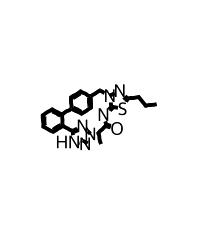 CCCc1nn(Cc2ccc(-c3ccccc3-c3nnn[nH]3)cc2)c(=NC(=O)CC)s1